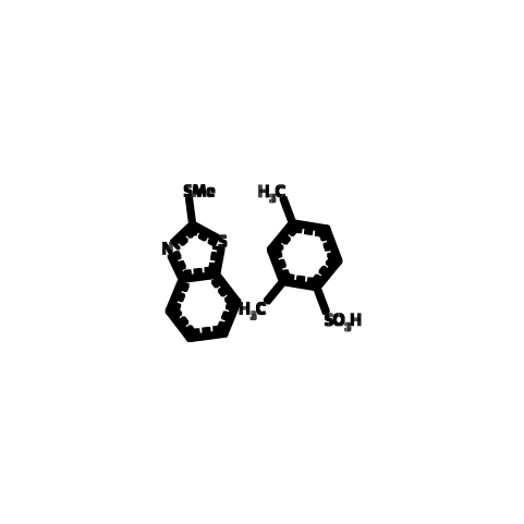 CSc1nc2ccccc2s1.Cc1ccc(S(=O)(=O)O)c(C)c1